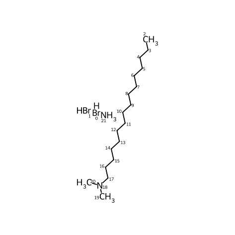 Br.Br.CCCCCCCCCCCCCCCCN(C)C.N